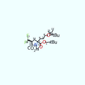 CC(C)(C)COC(=O)C1(CCCO[Si](C)(C)C(C)(C)C)CC(=C(F)F)CN1C(=O)O